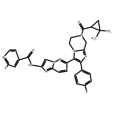 CC1(C)CC1C(=O)N1CCn2c(nc(-c3ccc(F)cc3)c2-c2ccc3nc(NC(=O)c4ccnc(F)c4)cn3n2)C1